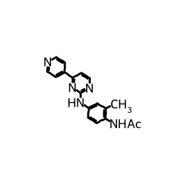 CC(=O)Nc1ccc(Nc2nccc(-c3ccncc3)n2)cc1C